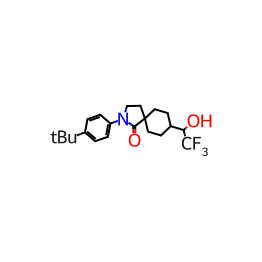 CC(C)(C)c1ccc(N2CCC3(CCC(C(O)C(F)(F)F)CC3)C2=O)cc1